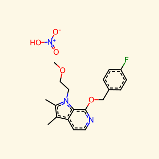 COCCn1c(C)c(C)c2ccnc(OCc3ccc(F)cc3)c21.O=[N+]([O-])O